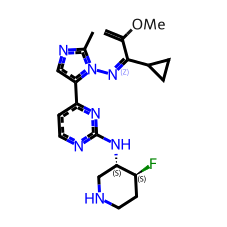 C=C(OC)/C(=N\n1c(-c2ccnc(N[C@H]3CNCC[C@@H]3F)n2)cnc1C)C1CC1